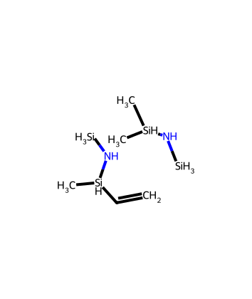 C=C[SiH](C)N[SiH3].C[SiH](C)N[SiH3]